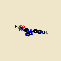 C=CC(=O)Nc1ccnc(-c2nccc3cnc(Nc4ccc(N5CCN(C)CC5)cc4)nc23)c1